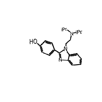 CC(C)N(CCn1c(-c2ccc(O)cc2)nc2ccccc21)C(C)C